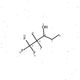 CCC(O)C(C)(C)C(F)(F)F